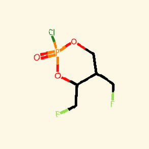 O=P1(Cl)OCC(CF)C(CF)O1